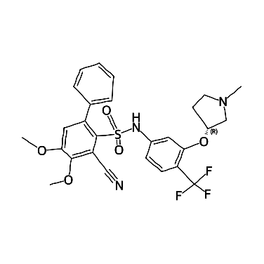 COc1cc(-c2ccccc2)c(S(=O)(=O)Nc2ccc(C(F)(F)F)c(O[C@@H]3CCN(C)C3)c2)c(C#N)c1OC